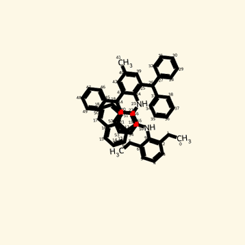 CCc1cccc(CC)c1NC1c2cccc3cccc(c23)C1Nc1c(C(c2ccccc2)c2ccccc2)cc(C)cc1C(c1ccccc1)c1ccccc1